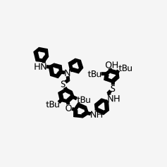 CC(C)(C)c1cc(SCNc2ccc(Nc3ccc(Oc4c(C(C)(C)C)cc(SCN(c5ccccc5)c5ccc(Nc6ccccc6)cc5)cc4C(C)(C)C)cc3)cc2)cc(C(C)(C)C)c1O